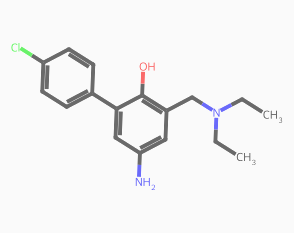 CCN(CC)Cc1cc(N)cc(-c2ccc(Cl)cc2)c1O